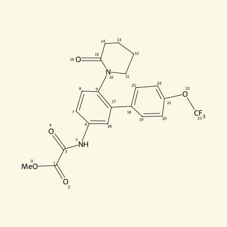 COC(=O)C(=O)Nc1ccc(N2CCCCC2=O)c(-c2ccc(OC(F)(F)F)cc2)c1